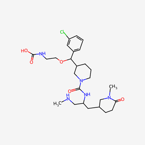 CNCC(CC1CCC(=O)N(C)C1)NC(=O)N1CCCC(C(OCCNC(=O)O)c2cccc(Cl)c2)C1